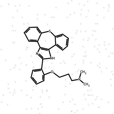 CN(C)CCCOc1ccccc1-c1nc2c([nH]1)-c1ccccc1Sc1ccccc1-2